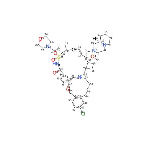 CO[C@]1(CN2CCN3CCCC[C@@H]3C2)/C=C/CC(C)[C@@H](CCN2CCOCC2)S(=O)(=O)NC(=O)c2ccc3c(c2)N(CCCCc2cc(Cl)ccc2CO3)CC2CCC21